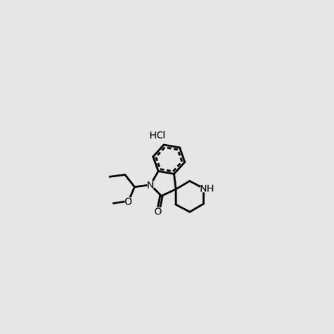 CCC(OC)N1C(=O)C2(CCCNC2)c2ccccc21.Cl